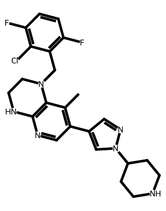 Cc1c(-c2cnn(C3CCNCC3)c2)cnc2c1N(Cc1c(F)ccc(F)c1Cl)CCN2